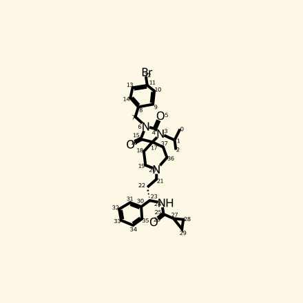 CC(C)N1C(=O)N(Cc2ccc(Br)cc2)C(=O)C12CCN(CC[C@H](NC(=O)C1CC1)c1ccccc1)CC2